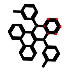 Cc1cccc(N(c2ccccc2)c2c(N(c3ccccc3)c3cccc(C)c3)c3ccccc3c3ccccc23)c1